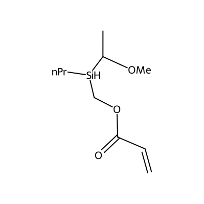 C=CC(=O)OC[SiH](CCC)C(C)OC